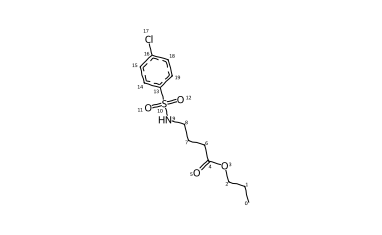 CCCOC(=O)CCCNS(=O)(=O)c1ccc(Cl)cc1